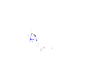 CCCCOC(C)CCn1cc(CC)nn1